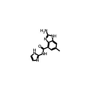 Cc1cc(C(=O)Nc2ncc[nH]2)c2nc(N)[nH]c2c1